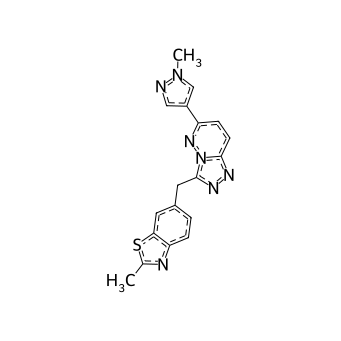 Cc1nc2ccc(Cc3nnc4ccc(-c5cnn(C)c5)nn34)cc2s1